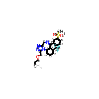 CCCOCc1nnc2n1-c1cccc(C(F)(F)F)c1C(c1cccc(S(C)(=O)=O)c1)=NC2